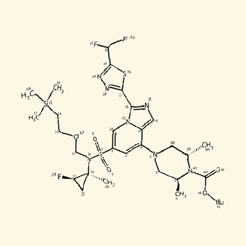 C[C@H]1CN(c2cc(S(=O)(=O)N(COCC[Si](C)(C)C)[C@@]3(C)C[C@H]3F)cn3c(-c4nnc(C(F)F)s4)ncc23)C[C@H](C)N1C(=O)OC(C)(C)C